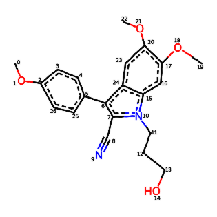 COc1ccc(-c2c(C#N)n(CCCO)c3cc(OC)c(OC)cc23)cc1